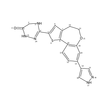 O=C1CNC(c2cc3c(s2)-c2ccc(-c4cn[nH]c4)cc2OCC3)=NN1